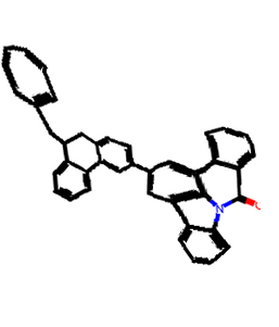 O=c1c2ccccc2c2cc(-c3ccc4c(c3)-c3ccccc3C(Cc3ccccc3)C4)cc3c4ccccc4n1c23